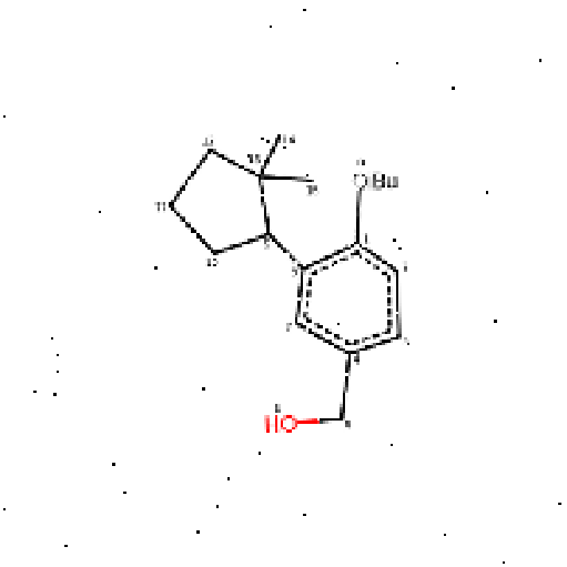 CC(C)COc1ccc(CO)cc1C1CCCC1(C)C